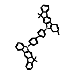 CC1C=Cc2c(n(-c3ccc(-c4ccc(-n5c6ccccc6c6cc7c(cc65)C(C)(C)c5ccccc5-7)cc4)cc3)c3cc4c(cc23)-c2ccccc2C4(C)C)C1